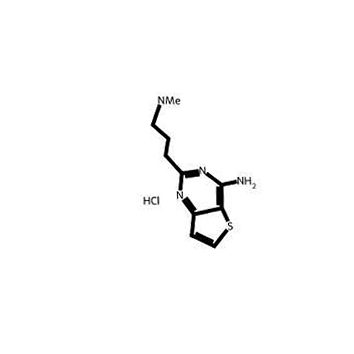 CNCCCc1nc(N)c2sccc2n1.Cl